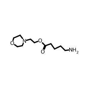 NCCCCC(=O)OCCN1CCOCC1